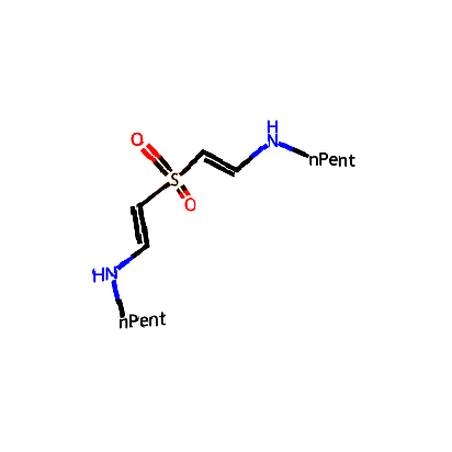 CCCCCNC=CS(=O)(=O)C=CNCCCCC